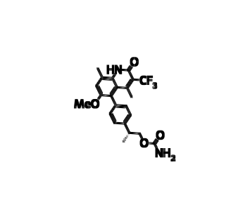 COc1cc(C)c2[nH]c(=O)c(C(F)(F)F)c(C)c2c1-c1ccc([C@@H](C)COC(N)=O)cc1